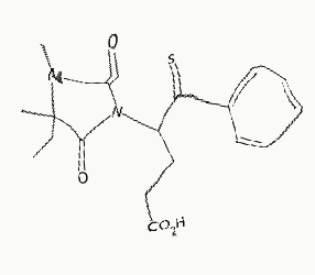 CN1C(=O)N(C(CCC(=O)O)C(=S)c2ccccc2)C(=O)C1(C)C